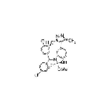 COC1(C)Nc2ccc(-c3c(C)nnn3C)cc2N1C(c1ccc(Cl)cc1)c1ccc(Cl)cc1